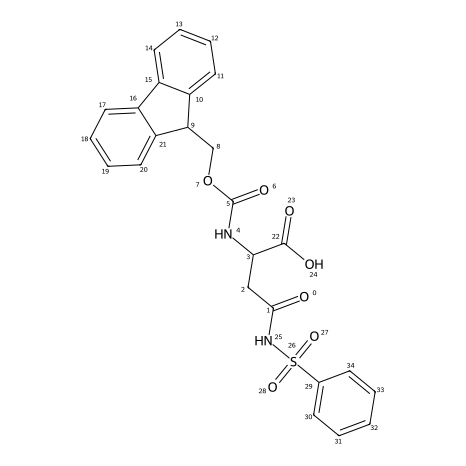 O=C(CC(NC(=O)OCC1c2ccccc2-c2ccccc21)C(=O)O)NS(=O)(=O)c1ccccc1